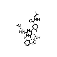 CC(C)=CNC(=O)c1ccc(C)c(-c2nc(NCCN(C)C)nc3c2CNC(=O)N3c2c(F)cccc2F)c1